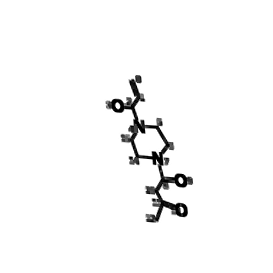 C=CC(=O)N1CCN(C(=O)CC(C)=O)CC1